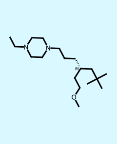 CCN1CCN(CCC[C@@H](CCOC)CC(C)(C)C)CC1